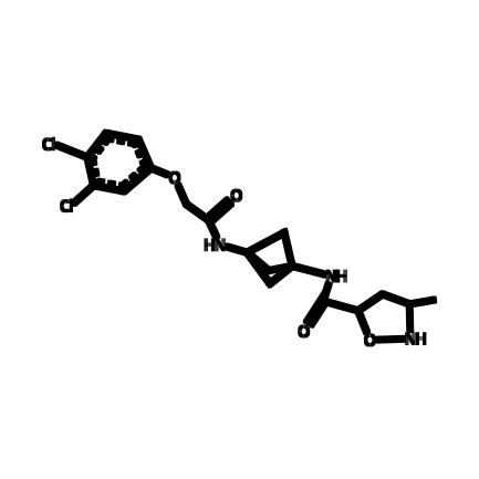 CC1CC(C(=O)NC23CC(NC(=O)COc4ccc(Cl)c(Cl)c4)(C2)C3)ON1